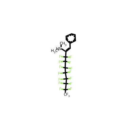 C[SiH](C)C(=Cc1ccccc1)C(F)(F)C(F)(F)C(F)(F)C(F)(F)C(F)(F)C(F)(F)C(F)(F)C(F)(F)F